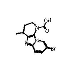 CC1CCN(C(=O)O)c2c1nc1ccc(Br)cn21